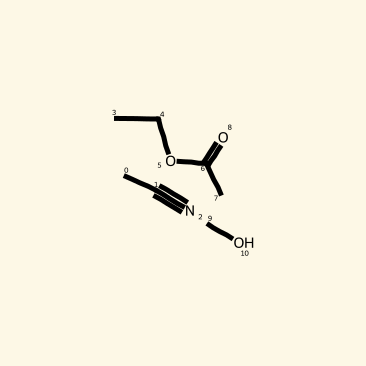 CC#N.CCOC(C)=O.CO